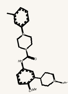 CCCN1CCC(c2cc(NC(=O)N3CCN(c4cccc(C)c4)CC3)ccc2OC)CC1